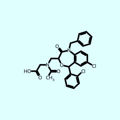 CC(=O)N(CC(=O)O)CC1OC(c2ccccc2Cl)c2cc(Cl)ccc2N(Cc2ccccc2)C1=O